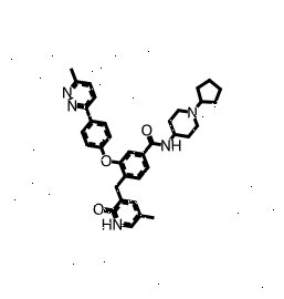 Cc1c[nH]c(=O)c(Cc2ccc(C(=O)NC3CCN(C4CCCC4)CC3)cc2Oc2ccc(-c3ccc(C)nn3)cc2)c1